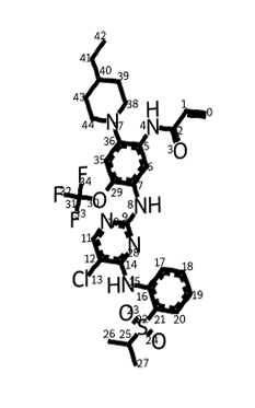 C=CC(=O)Nc1cc(Nc2ncc(Cl)c(Nc3ccccc3S(=O)(=O)C(C)C)n2)c(OC(F)(F)F)cc1N1CCC(CC)CC1